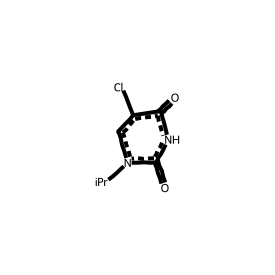 CC(C)n1cc(Cl)c(=O)[nH]c1=O